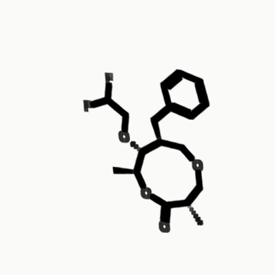 C[C@@H]1OC(=O)[C@@H](C)COC[C@H](Cc2ccccc2)[C@H]1OCC(F)F